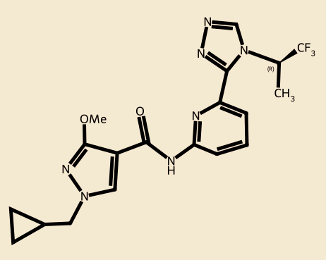 COc1nn(CC2CC2)cc1C(=O)Nc1cccc(-c2nncn2[C@H](C)C(F)(F)F)n1